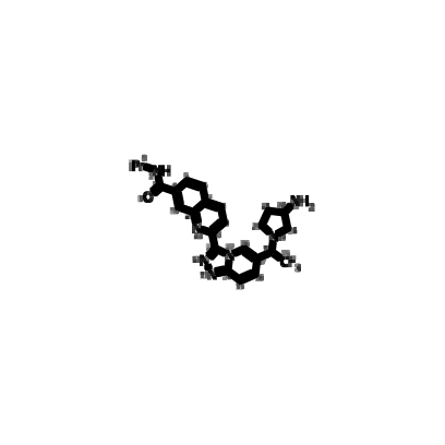 CC(C)NC(=O)c1ccc2ccc(-c3nnc4ccc(C(N5CCC(N)C5)C(F)(F)F)cn34)nc2c1